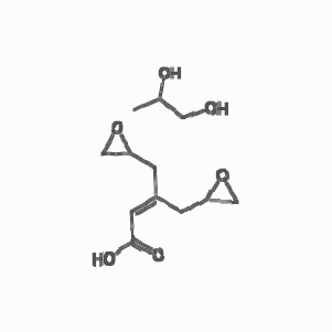 CC(O)CO.O=C(O)C=C(CC1CO1)CC1CO1